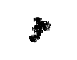 CC(C)(C)[C@H](c1nn(-c2cc(F)ccc2F)cc1Cc1ccccc1)N(CC[C@H](N)C(=O)N[C@@H]1CC[C@@H](C(=O)NCCN2C(=O)C=CC2=O)C1)C(=O)CO